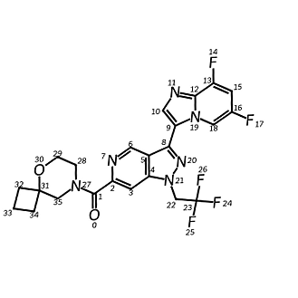 O=C(c1cc2c(cn1)c(-c1cnc3c(F)cc(F)cn13)nn2CC(F)(F)F)N1CCOC2(CCC2)C1